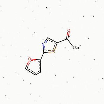 CC(C)(C)C(=O)c1cnc(-c2ccco2)s1